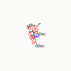 C=CCOC(=O)O[C@H]1[C@H](OCCCCCCCCCC)[C@H](NC(=O)CC(=O)CCCCCCCCCCC)[C@@H](O)O[C@@H]1CO[Si](C)(C)C(C)(C)C